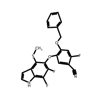 CSc1c(Oc2cc(C#N)c(F)cc2OCc2ccccc2)c(F)c(F)c2[nH]ccc12